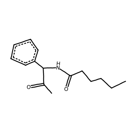 CCCCCC(=O)NC(C(C)=O)c1ccccc1